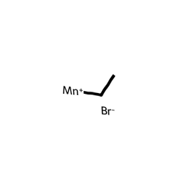 C[CH2][Mn+].[Br-]